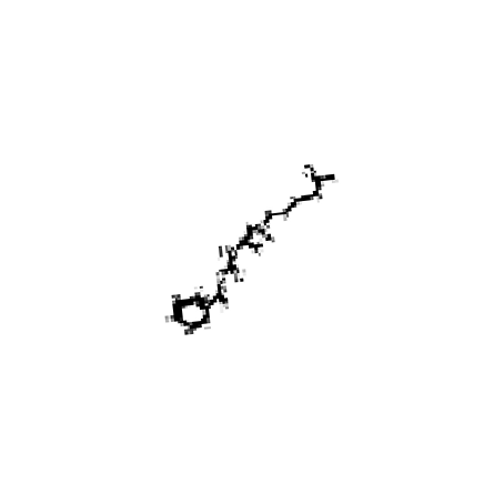 CC(=O)CCCCn1cc(NC(=O)OC(C)c2ccccc2)cn1